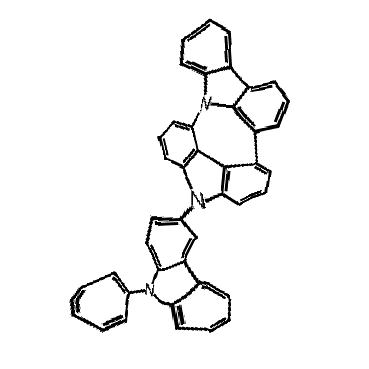 c1ccc(-n2c3ccccc3c3cc(-n4c5cccc6c7cccc8c9ccccc9n(c9cccc4c9c65)c78)ccc32)cc1